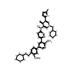 C=C1C(c2ccc(C)s2)=CN(CC2CCCCC2)C=C1N(F)c1ccc(-c2cc(-c3ccc(CCC4CCCCC4)c(OC)c3)cnc2N)nn1